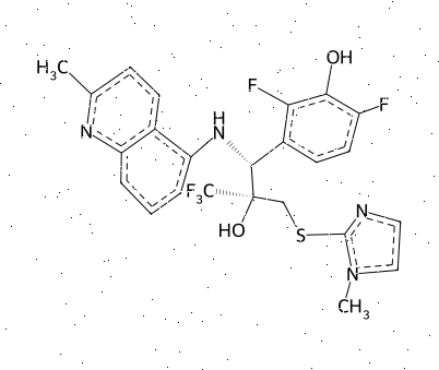 Cc1ccc2c(N[C@H](c3ccc(F)c(O)c3F)[C@](O)(CSc3nccn3C)C(F)(F)F)cccc2n1